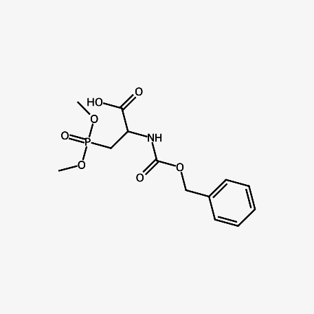 COP(=O)(CC(NC(=O)OCc1ccccc1)C(=O)O)OC